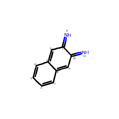 N=C1C=c2ccccc2=CC1=N